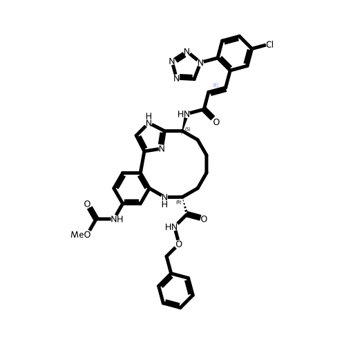 COC(=O)Nc1ccc2c(c1)N[C@@H](C(=O)NOCc1ccccc1)CCCC[C@H](NC(=O)/C=C/c1cc(Cl)ccc1-n1cnnn1)c1nc-2c[nH]1